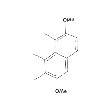 COc1cc2ccc(OC)c(C)c2c(C)c1C